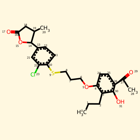 CCCc1c(OCCCSc2ccc(C3OC(=O)CC3C)cc2Cl)ccc(C(C)=O)c1O